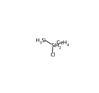 [GeH4].[SiH3][SiH2]Cl